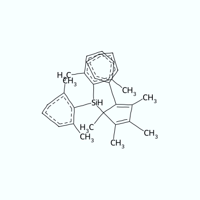 CC1=C(C)C(C)([SiH](c2c(C)cccc2C)c2c(C)cccc2C)C(c2ccccc2)=C1C